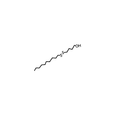 CCCCCCCCCCSSCCCCO